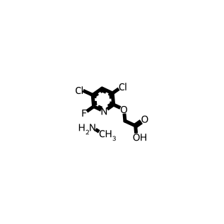 CN.O=C(O)COc1nc(F)c(Cl)cc1Cl